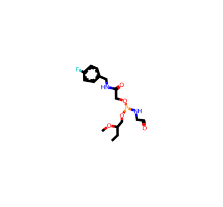 CCC(COP(NCC=O)OCC(=O)NCc1ccc(F)cc1)OC